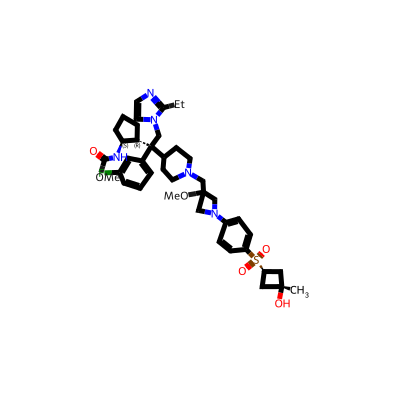 CCc1nccn1CC(c1cccc(F)c1)(C1CCN(CC2(OC)CN(c3ccc(S(=O)(=O)[C@H]4C[C@@](C)(O)C4)cc3)C2)CC1)[C@H]1CCC[C@@H]1NC(=O)OC